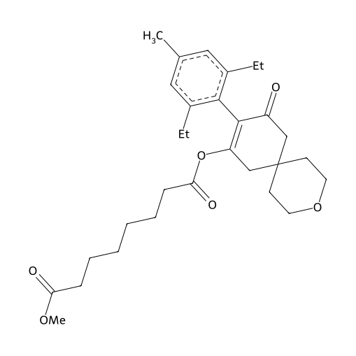 CCc1cc(C)cc(CC)c1C1=C(OC(=O)CCCCCCC(=O)OC)CC2(CCOCC2)CC1=O